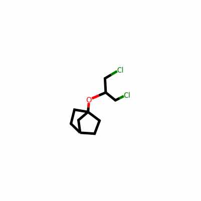 ClCC(CCl)OC12CCC(CC1)C2